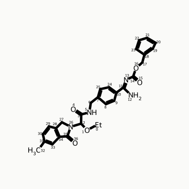 CCOC(C(=O)NCc1ccc(/C(N)=N/C(=O)OCc2ccccc2)cc1)N1Cc2ccc(C)cc2C1=O